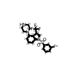 O=S(=O)(c1cccc(F)c1)n1cc(C(F)(F)F)c2c(N3CCNCC3)cccc21